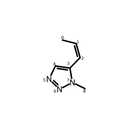 C/C=C\c1cnnn1C